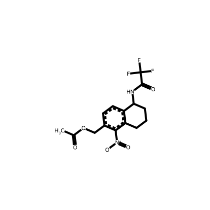 CC(=O)OCc1ccc2c(c1[N+](=O)[O-])CCCC2NC(=O)C(F)(F)F